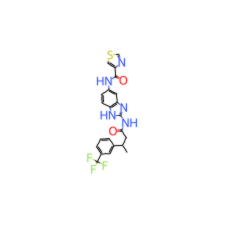 CC(CC(=O)Nc1nc2cc(NC(=O)c3cscn3)ccc2[nH]1)c1cccc(C(F)(F)F)c1